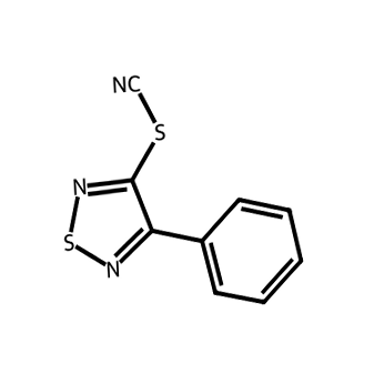 N#CSc1nsnc1-c1ccccc1